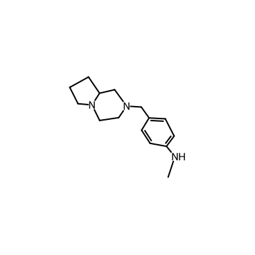 CNc1ccc(CN2CCN3CCCC3C2)cc1